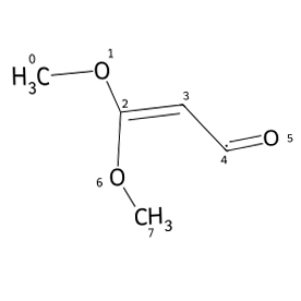 COC(=C[C]=O)OC